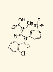 CCN(C(=O)O)c1nc2cccc(Cl)c2c(=O)n1-c1cccc(C(F)(F)F)c1